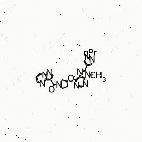 CCCn1cc(-c2nc3c(OC4CCN(C(=O)c5cnn6cccnc56)C4)ncnc3n2C)cn1